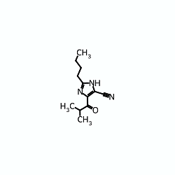 CCCCc1nc(C(=O)C(C)C)c(C#N)[nH]1